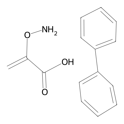 C=C(ON)C(=O)O.c1ccc(-c2ccccc2)cc1